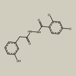 O=C(Cc1cccc(O)c1)NNC(=O)c1ccc(Cl)cc1Cl